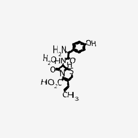 CC=CC1=C(C(=O)O)N2C(=O)[C@@H](NC(=O)[C@H](N)c3ccc(O)cc3)[C@H]2SC1.O